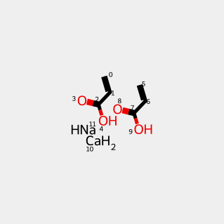 C=CC(=O)O.C=CC(=O)O.[CaH2].[NaH]